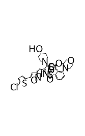 CCc1c(N2CCOCC2=O)cccc1S(=O)(=O)N[C@@H](Cc1cc(-c2ccc(Cl)s2)on1)C(=O)N1CCC(O)CC1